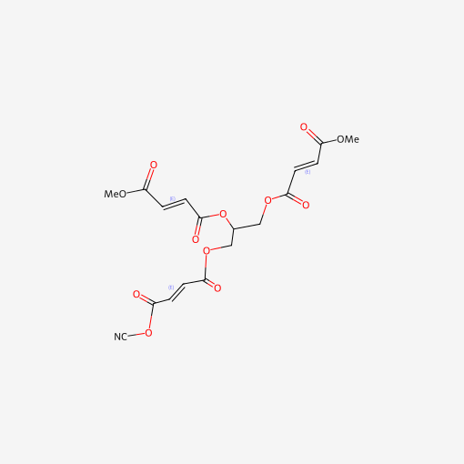 COC(=O)/C=C/C(=O)OCC(COC(=O)/C=C/C(=O)OC#N)OC(=O)/C=C/C(=O)OC